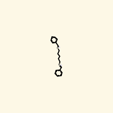 C(=N\CCCCC/N=C/c1ccccc1)/c1ccccc1